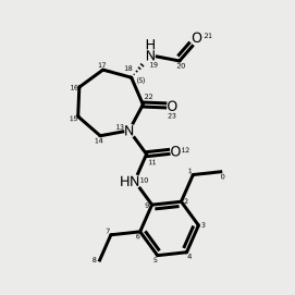 CCc1cccc(CC)c1NC(=O)N1CCCC[C@H](NC=O)C1=O